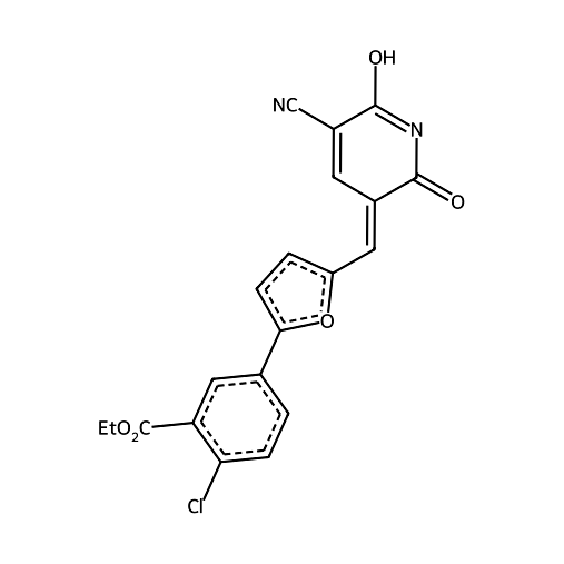 CCOC(=O)c1cc(-c2ccc(/C=C3\C=C(C#N)C(O)=NC3=O)o2)ccc1Cl